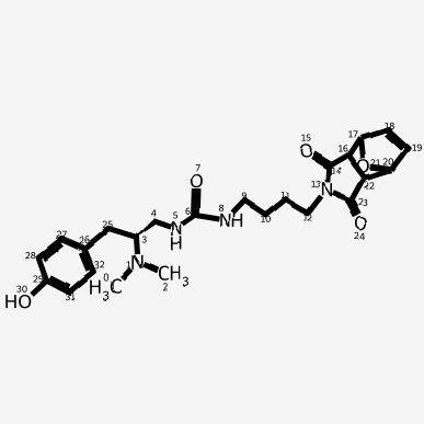 CN(C)[C@H](CNC(=O)NCCCCN1C(=O)C2C3C=CC(O3)C2C1=O)Cc1ccc(O)cc1